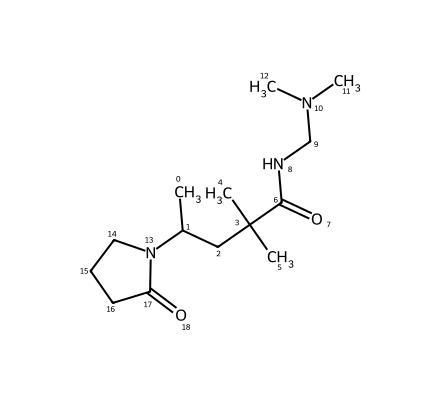 CC(CC(C)(C)C(=O)NCN(C)C)N1CCCC1=O